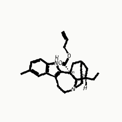 C=CCOC(=O)[C@]12CC3C[C@H](CC)C1N(CCc1c2[nH]c2ccc(C)cc12)C3